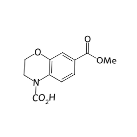 COC(=O)c1ccc2c(c1)OCCN2C(=O)O